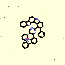 c1ccc(-c2cnc(-c3c(-c4ccccc4)ccc4c3-c3c5c(ccc3=N4)=c3ccccc3=N5)nc2-c2cccc3c2[nH]c2ccccc23)cc1